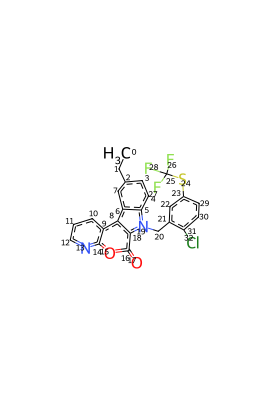 CCc1ccc2c(c1)c1c3cccnc3oc(=O)c1n2Cc1cc(SC(F)(F)F)ccc1Cl